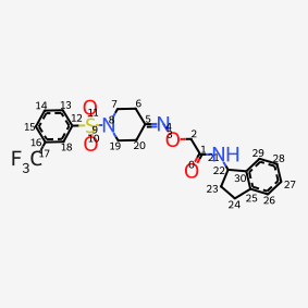 O=C(CON=C1CCN(S(=O)(=O)c2cccc(C(F)(F)F)c2)CC1)NC1CCc2ccccc21